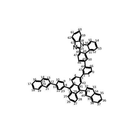 c1cc(-c2ccc3c(-c4ccc(-c5ccc6ccccc6c5)cc4)c4ccccc4c(-c4ccc5ccccc5c4)c3c2)cc(-c2ccc3c(c2)c2ccccc2n2c4ccccc4nc32)c1